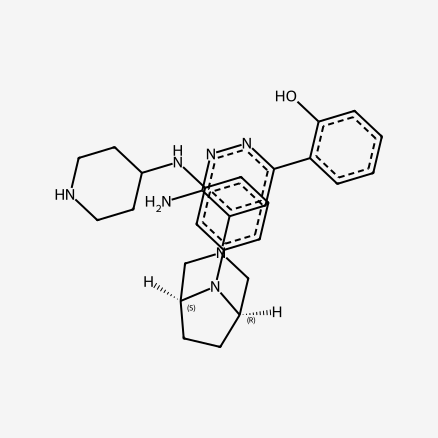 Nc1nnc(-c2ccccc2O)cc1N1C[C@H]2CC[C@@H](C1)N2c1cccc(NC2CCNCC2)c1